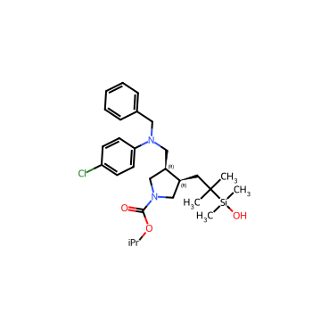 CC(C)OC(=O)N1C[C@H](CC(C)(C)[Si](C)(C)O)[C@H](CN(Cc2ccccc2)c2ccc(Cl)cc2)C1